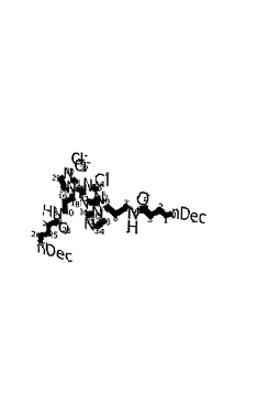 CCCCCCCCCCCCCC(=O)NCCC[N+]1(c2nc(Cl)nc([N+]3(CCCNC(=O)CCCCCCCCCCCCC)C=CN=C3)n2)C=CN=C1.[Cl-].[Cl-]